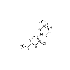 CCc1ccc(N2CCNC(C)C2)c(Cl)c1